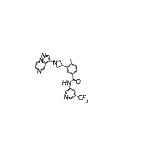 Cc1ccc(C(=O)Nc2cncc(C(F)(F)F)c2)cc1C1CN(c2cnn3ccncc23)C1